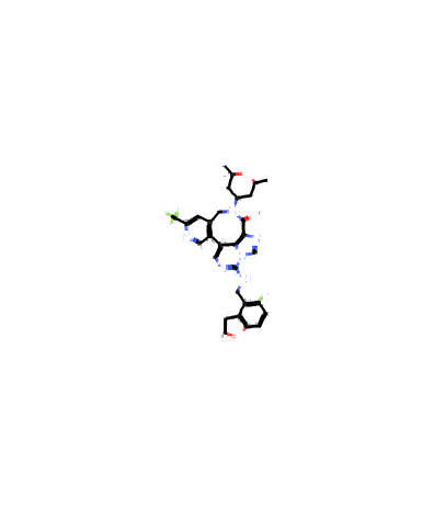 CC1CC(N2Cc3cc(C(F)(F)F)ncc3-c3cnc(NCc4c(F)ccc5c4CCO5)n4cnc(c34)C2=O)CC(C)O1